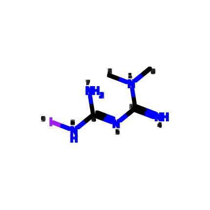 CN(C)C(=N)/N=C(\N)NI